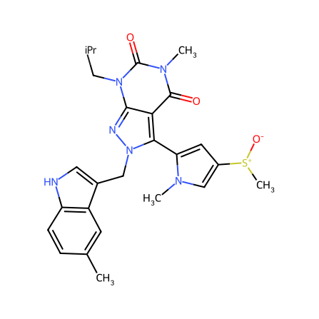 Cc1ccc2[nH]cc(Cn3nc4c(c3-c3cc([S+](C)[O-])cn3C)c(=O)n(C)c(=O)n4CC(C)C)c2c1